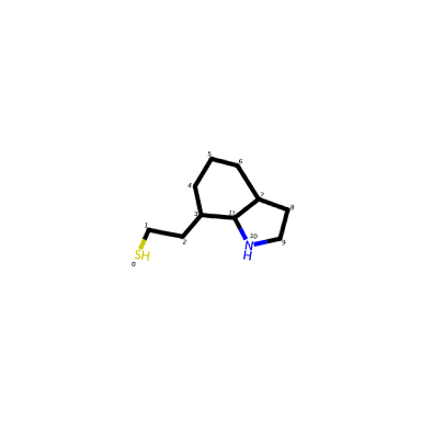 SCCC1CCCC2CCNC12